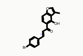 Cc1coc2ccc(C(=O)/C=C/c3ccc(Br)cc3)c(O)c12